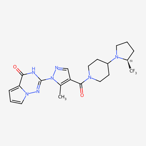 Cc1c(C(=O)N2CCC(N3CCC[C@H]3C(F)(F)F)CC2)cnn1-c1nn2cccc2c(=O)[nH]1